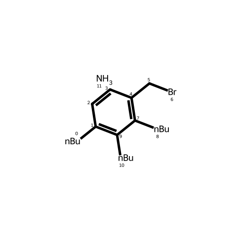 CCCCc1ccc(CBr)c(CCCC)c1CCCC.N